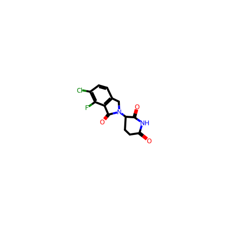 O=C1CCC(N2Cc3ccc(Cl)c(F)c3C2=O)C(=O)N1